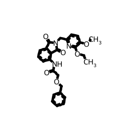 CCOc1nc(CN2C(=O)c3cccc(NC(=O)COCc4ccccc4)c3C2=O)ccc1OC